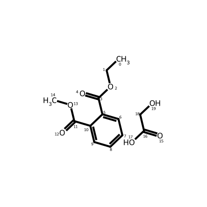 CCOC(=O)c1ccccc1C(=O)OC.O=C(O)CO